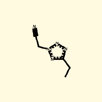 CCc1nnn(CC#N)n1